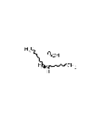 CCCCCCCC[NH][Ni][NH]CCCCCCCC.O=CO